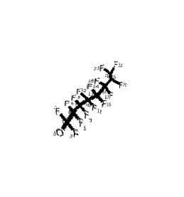 [O]C(F)(F)C(F)(F)C(F)(F)C(F)(F)C(F)(F)C(F)(F)C(F)=C(F)F